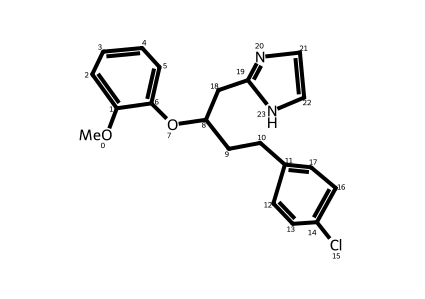 COc1ccccc1OC(CCc1ccc(Cl)cc1)Cc1ncc[nH]1